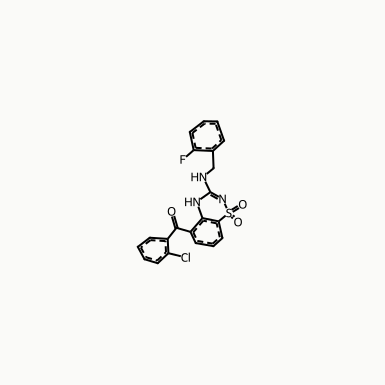 O=C(c1ccccc1Cl)c1cccc2c1NC(NCc1ccccc1F)=NS2(=O)=O